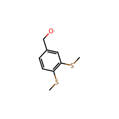 CSc1ccc(C[O])cc1SC